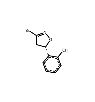 Cc1ccccc1[C@@H]1CC(Br)=NO1